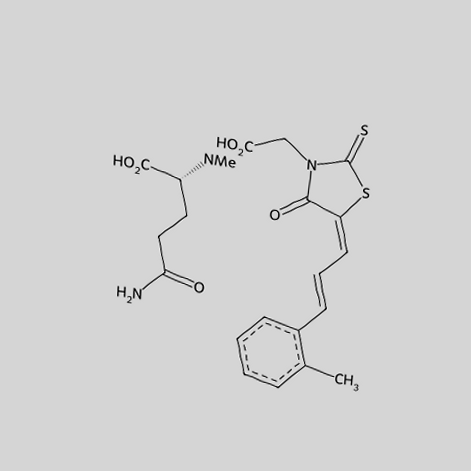 CN[C@H](CCC(N)=O)C(=O)O.Cc1ccccc1/C=C/C=C1/SC(=S)N(CC(=O)O)C1=O